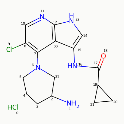 Cl.NC1CCCN(c2c(Cl)cnc3[nH]cc(NC(=O)C4CC4)c23)C1